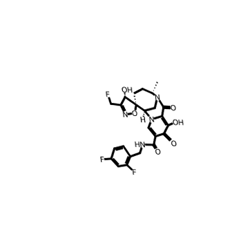 C[C@H]1CC[C@@]2(ON=C(CF)[C@@H]2O)[C@H]2CN1C(=O)c1c(O)c(=O)c(C(=O)NCc3ccc(F)cc3F)cn12